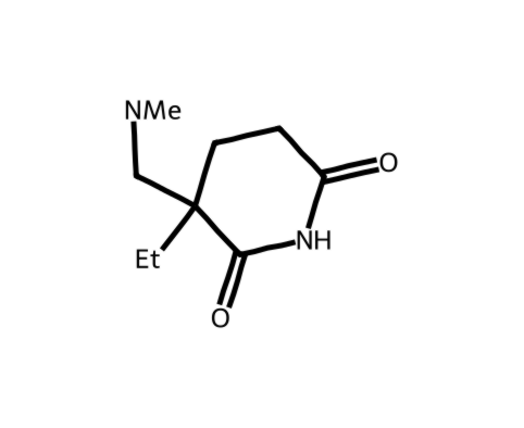 CCC1(CNC)CCC(=O)NC1=O